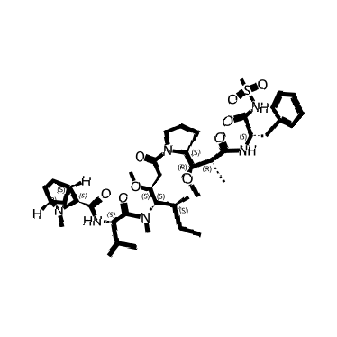 CC[C@H](C)[C@@H]([C@H](CC(=O)N1CCC[C@H]1[C@H](OC)[C@@H](C)C(=O)N[C@@H](Cc1ccccc1)C(=O)NS(C)(=O)=O)OC)N(C)C(=O)[C@@H](NC(=O)[C@@H]1[C@H]2CC[C@H](C2)N1C)C(C)C